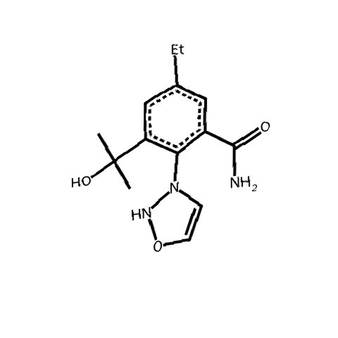 [CH2]Cc1cc(C(N)=O)c(N2C=CON2)c(C(C)(C)O)c1